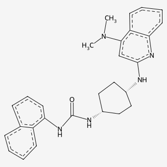 CN(C)c1cc(N[C@H]2CC[C@@H](NC(=O)Nc3cccc4ccccc34)CC2)nc2ccccc12